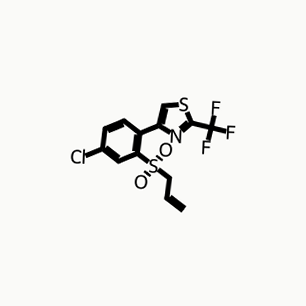 C=CCS(=O)(=O)c1cc(Cl)ccc1-c1csc(C(F)(F)F)n1